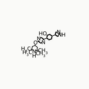 CC1(C)CC(Oc2cnc(-c3ccc(-c4cn[nH]c4)cc3O)cn2)CC(C)(C)N1